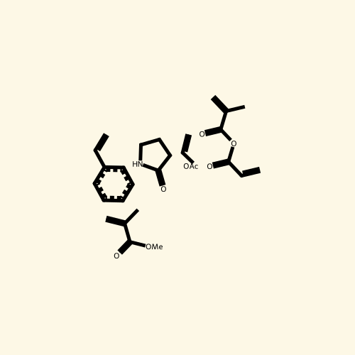 C=C(C)C(=O)OC.C=CC(=O)OC(=O)C(=C)C.C=COC(C)=O.C=Cc1ccccc1.O=C1CCCN1